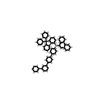 c1ccc(-c2cccc(-c3ccc(-c4ccc(N(c5cccc6c5-c5ccccc5C6(c5ccccc5)c5ccccc5)c5cc6ccccc6c6ccccc56)cc4)cc3)c2)cc1